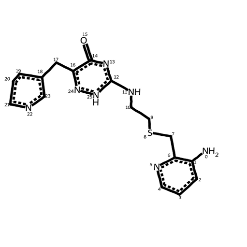 Nc1cccnc1CSCCNc1nc(=O)c(Cc2cccnc2)n[nH]1